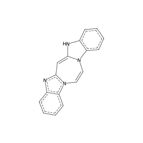 C1=Cn2c(nc3ccccc32)C=C2Nc3ccccc3N12